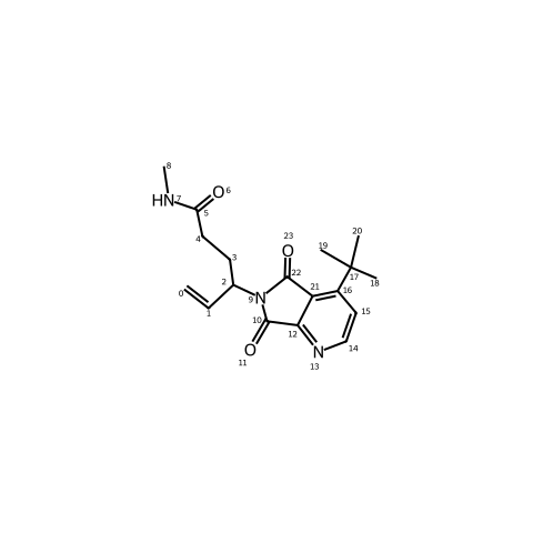 C=CC(CCC(=O)NC)N1C(=O)c2nccc(C(C)(C)C)c2C1=O